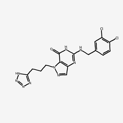 O=c1[nH]c(NCc2ccc(Cl)c(Cl)c2)nc2cnn(CCCc3nnn[nH]3)c12